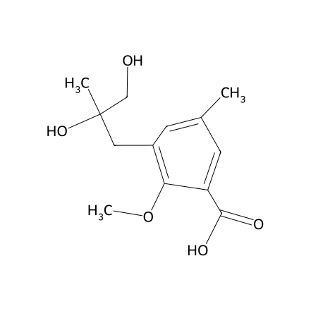 COc1c(CC(C)(O)CO)cc(C)cc1C(=O)O